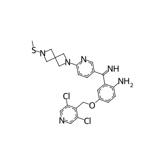 CSN1CC2(C1)CN(c1ccc(C(=N)c3cc(OCc4c(Cl)cncc4Cl)ccc3N)cn1)C2